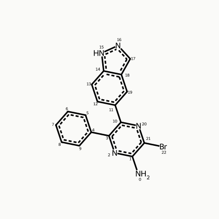 Nc1nc(-c2ccccc2)c(-c2ccc3[nH]ncc3c2)nc1Br